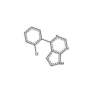 Clc1ccccc1-c1ncnc2[nH]ccc12